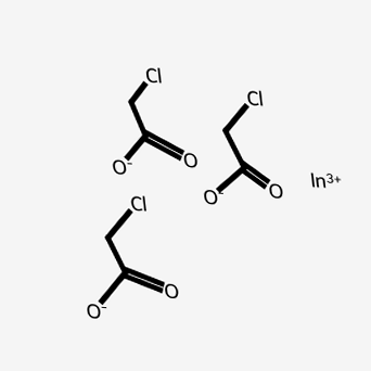 O=C([O-])CCl.O=C([O-])CCl.O=C([O-])CCl.[In+3]